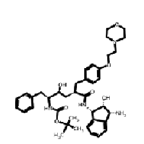 CC(C)(C)OC(=O)N[C@@H](Cc1ccccc1)[C@@H](O)C[C@@H](Cc1ccc(OCCN2CCOCC2)cc1)C(=O)N[C@H]1c2ccccc2[C@@H](N)[C@H]1O